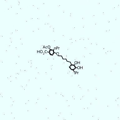 CCCc1c(OCCCCCCc2ccc(C(C)C)c(O)c2O)ccc(C(=O)O)c1OC(C)=O